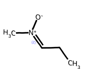 CC/C=[N+](/C)[O-]